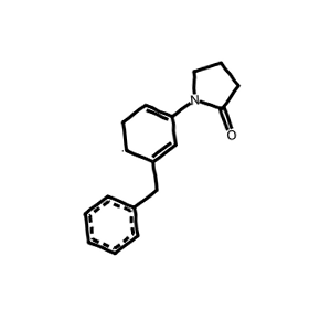 O=C1CCCN1C1=CC[CH]C(Cc2ccccc2)=C1